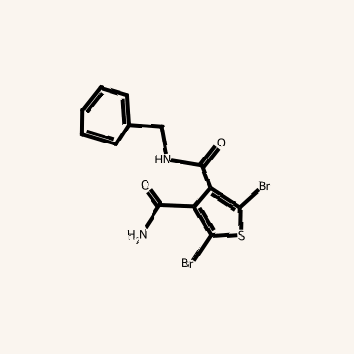 NC(=O)c1c(Br)sc(Br)c1C(=O)NCc1ccccc1